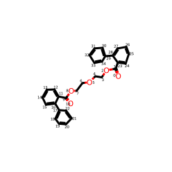 O=C(OCCOCCOC(=O)c1ccccc1-c1ccccc1)c1ccccc1-c1ccccc1